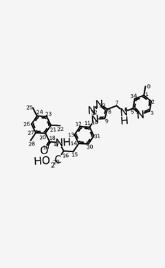 Cc1ccnc(NCc2cn(-c3ccc(CC(NC(=O)c4c(C)cc(C)cc4C)C(=O)O)cc3)nn2)c1